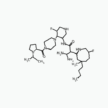 CCCCC1(C)CCC(F)CNC(C(C(=O)NC2CNCC(F)C2N2CCN(C(=O)C3CCCN3C(C)C)CC2)C(N)N)C1